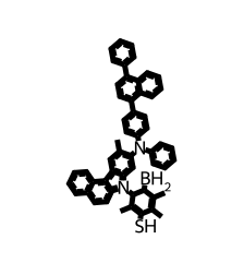 BC1C(C)=C(C)C(S)=C(C)C1n1c2cc(N(c3ccccc3)c3ccc(-c4ccc(-c5ccccc5)c5ccccc45)cc3)c(C)cc2c2c3ccccc3ccc21